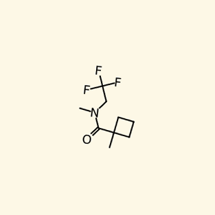 CN(CC(F)(F)F)C(=O)C1(C)CCC1